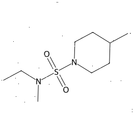 [CH2]C1CCN(S(=O)(=O)N(C)CC)CC1